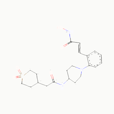 O=C(C=Cc1ccccc1N1CCC(NC(=O)CC2CCS(=O)(=O)CC2)CC1)NO